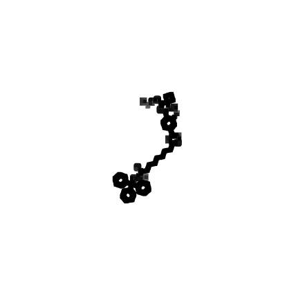 COC(=O)C1(NCc2ccc(-c3noc(CCCCCCCC(=O)NOC(c4ccccc4)(c4ccccc4)c4ccccc4)n3)cc2F)CCC1